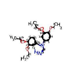 CCOc1ccc(N(C=N)c2ccc(OCC)c(OCC)c2)cc1OCC